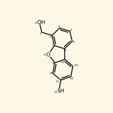 OCc1cccc2c1oc1cc(S)ccc12